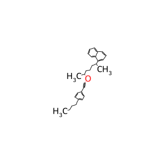 CCCCc1ccc(C#COC(C)CCCC(C)c2cccc3ccccc23)cc1